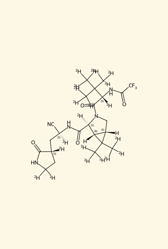 [2H]C1([2H])C[C@@]([2H])(C[C@@]([2H])(C#N)NC(=O)[C@]2([2H])[C@@H]3[C@H](CN2C(=O)[C@@]([2H])(NC(=O)C(F)(F)F)C(C([2H])([2H])[2H])(C([2H])([2H])[2H])C([2H])([2H])[2H])C3(C([2H])([2H])[2H])C([2H])([2H])[2H])C(=O)N1